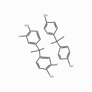 CC(C)(c1ccc(O)c(F)c1)c1ccc(O)c(F)c1.CC(C)(c1ccc(O)cc1)c1ccc(O)cc1